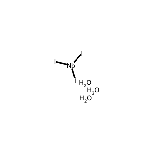 O.O.O.[I][Nb]([I])[I]